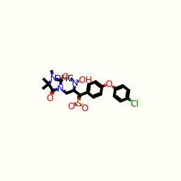 CN1C(=O)N(CC(C(c2ccc(Oc3ccc(Cl)cc3)cc2)=S(=O)=O)N(O)C=O)C(=O)C1(C)C